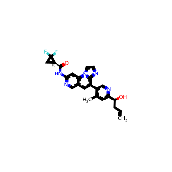 C=CCC(O)c1cc(C)c(-c2cc3cnc(NC(=O)[C@H]4CC4(F)F)cc3n3ccnc23)cn1